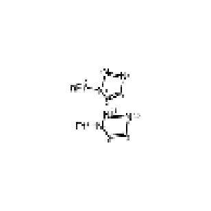 CCCn1ccnn1.CCn1ccnn1